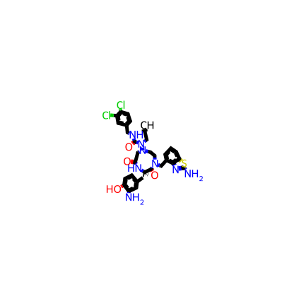 C#CCN(C(=O)NCc1ccc(Cl)c(Cl)c1)N1CCN(Cc2cccc3sc(N)nc23)C(=O)[C@H](Cc2ccc(O)c(N)c2)NC(=O)C1